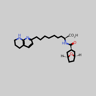 O=C(N[C@@H](CCCCCCCc1ccc2c(n1)NCCC2)C(=O)O)[C@H]1C[C@H]2CC[C@@H](C1)O2